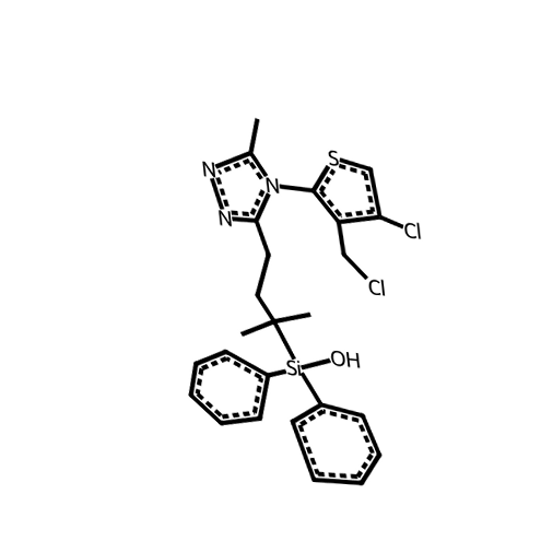 Cc1nnc(CCC(C)(C)[Si](O)(c2ccccc2)c2ccccc2)n1-c1scc(Cl)c1CCl